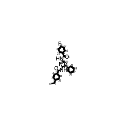 CCc1ccc(C(=O)Nc2nc(NC(=O)c3ccc(F)cc3)nn2-c2ccccc2)cc1